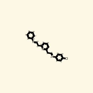 Clc1ccc(N=CCc2cccc(CC=Nc3ccccc3)n2)cc1